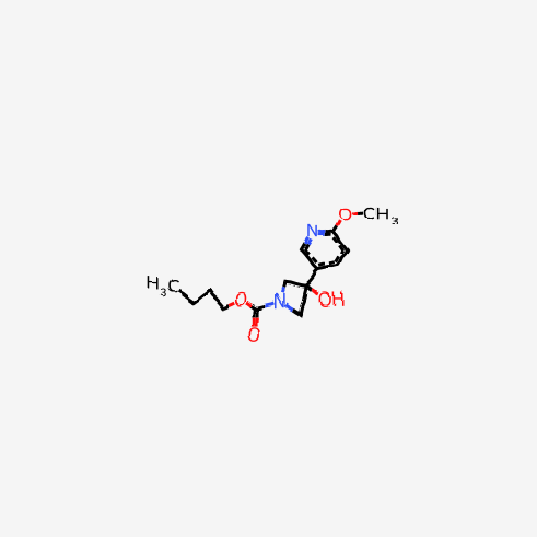 CCCCOC(=O)N1CC(O)(c2ccc(OC)nc2)C1